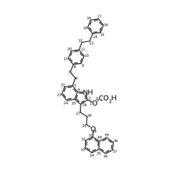 O=C(O)Oc1[nH]c2c(CCc3ccc(CCc4ccccc4)cc3)cccc2c1CCCOc1cccc2ccccc12